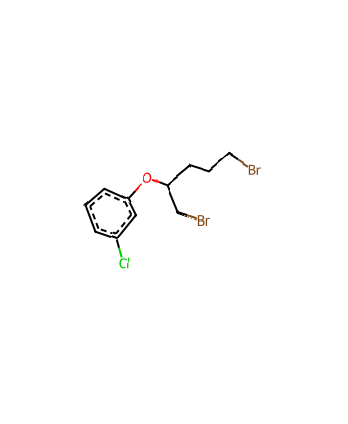 Clc1cccc(OC(CBr)CCCBr)c1